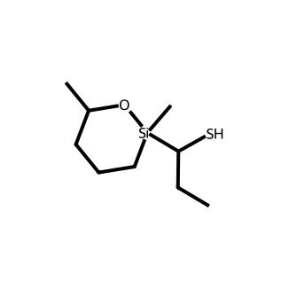 CCC(S)[Si]1(C)CCCC(C)O1